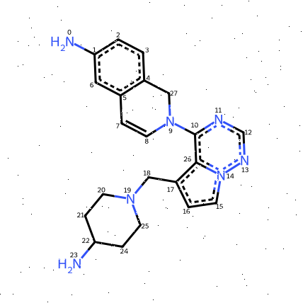 Nc1ccc2c(c1)C=CN(c1ncnn3ccc(CN4CCC(N)CC4)c13)C2